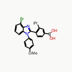 COc1ccc(-n2c(-c3ccc(B(O)O)cc3C(C)C)nc3c(Br)cccc32)cc1